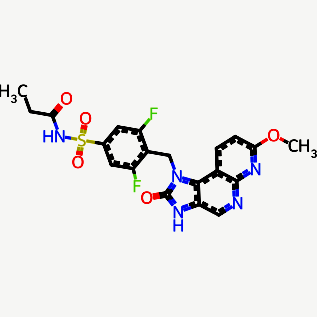 CCC(=O)NS(=O)(=O)c1cc(F)c(Cn2c(=O)[nH]c3cnc4nc(OC)ccc4c32)c(F)c1